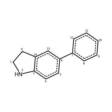 [CH]1CNc2ccc(-c3ccccc3)cc21